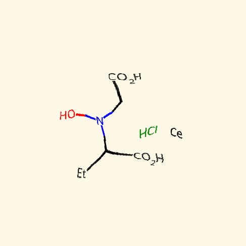 CCC(C(=O)O)N(O)CC(=O)O.Cl.[Ce]